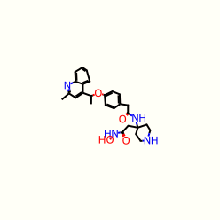 Cc1cc(C(C)Oc2ccc(CC(=O)NC3(CC(=O)NO)CCNCC3)cc2)c2ccccc2n1